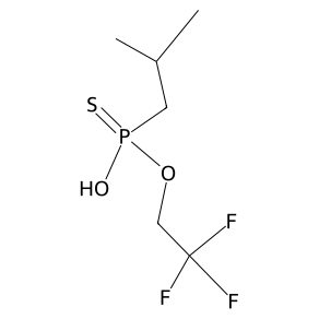 CC(C)CP(O)(=S)OCC(F)(F)F